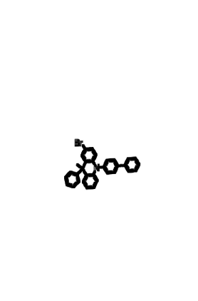 CC1(c2ccccc2)c2ccccc2N(c2ccc(-c3ccccc3)cc2)c2ccc(Br)cc21